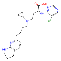 O=C(O)C(CCN(CCCCc1ccc2c(n1)NCCC2)C1CC1)Nc1ncncc1Br